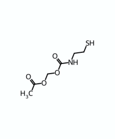 CC(=O)OCOC(=O)NCCS